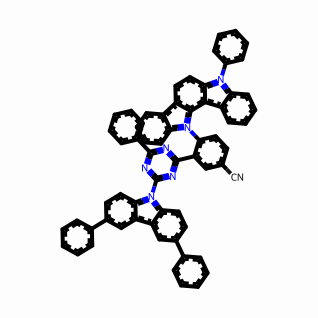 N#Cc1ccc(-n2c3ccccc3c3ccc4c(c5ccccc5n4-c4ccccc4)c32)c(-c2nc(-c3ccccc3)nc(-n3c4ccc(-c5ccccc5)cc4c4cc(-c5ccccc5)ccc43)n2)c1